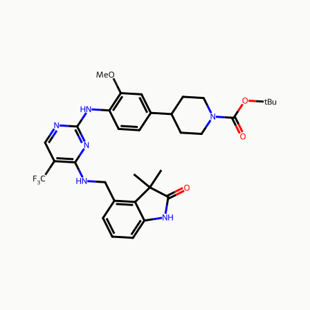 COc1cc(C2CCN(C(=O)OC(C)(C)C)CC2)ccc1Nc1ncc(C(F)(F)F)c(NCc2cccc3c2C(C)(C)C(=O)N3)n1